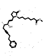 COC(=O)CCCCCCN1C(=O)CCC1C=C[C@@H](O)[C@@H](C)CC#CCCc1ccccc1